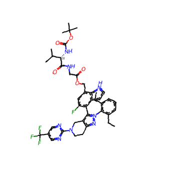 CCc1cccc(CC)c1-n1nc2c(c1-c1c(F)cc(COC(=O)CNC(=O)[C@@H](NC(=O)OC(C)(C)C)C(C)C)c3[nH]ccc13)CN(c1ncc(C(F)(F)F)cn1)CC2